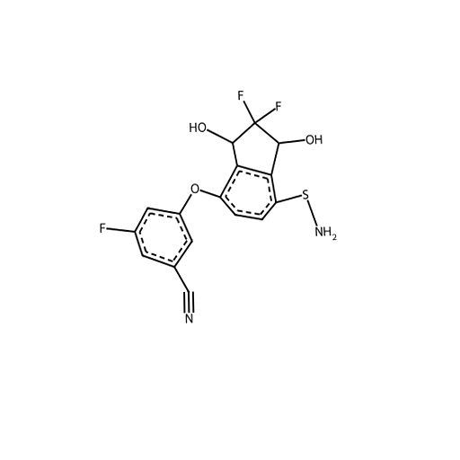 N#Cc1cc(F)cc(Oc2ccc(SN)c3c2C(O)C(F)(F)C3O)c1